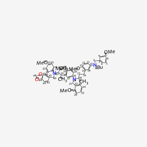 CCC(C)N(Cc1cccc(OC)c1)c1ccc(OC)c(CCC(C)N(Cc2ccccc2OC)c2ccc(OC)c(C(C)C(C)N(Cc3ccc4c(c3)OCO4)c3ccc(OC)cc3)c2)c1